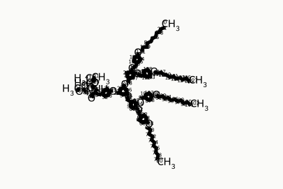 CCCCCCCCCCCCOc1ccc(COc2ccc(COc3cc(COc4ccc(CC(NC(=O)OC(C)(C)C)C(=O)NCC(=O)OC)cc4)cc(OCc4ccc(OCc5ccc(OCCCCCCCCCCCC)cc5)c(OCc5ccc(OCCCCCCCCCCCC)cc5)c4)c3)cc2OCc2ccc(OCCCCCCCCCCCC)cc2)cc1